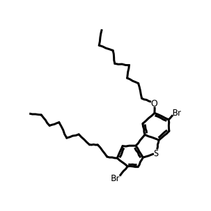 CCCCCCCCCc1cc2c(cc1Br)sc1cc(Br)c(OCCCCCCCC)cc12